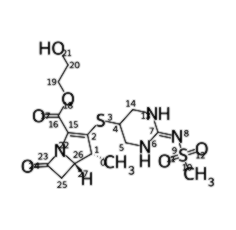 C[C@H]1C(SC2CNC(=NS(C)(=O)=O)NC2)=C(C(=O)OCCO)N2C(=O)C[C@@H]12